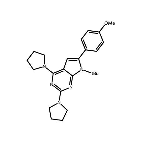 COc1ccc(-c2cc3c(N4CCCC4)nc(N4CCCC4)nc3n2C(C)(C)C)cc1